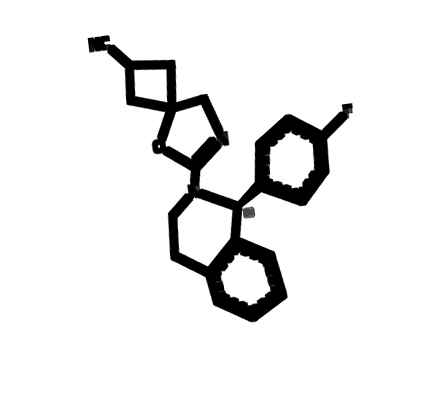 N#CC1CC2(CN=C(N3CCc4ccccc4[C@@H]3c3ccc(F)cc3)O2)C1